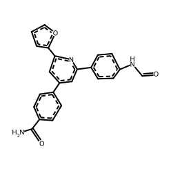 NC(=O)c1ccc(-c2cc(-c3ccc(NC=O)cc3)nc(-c3ccco3)c2)cc1